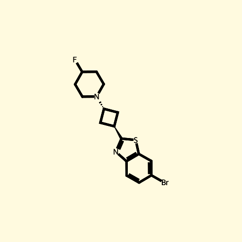 FC1CCN([C@H]2C[C@H](c3nc4ccc(Br)cc4s3)C2)CC1